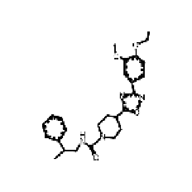 CCOc1ccc(-c2noc(C3CCN(C(=O)NCC(C)c4ccccc4)CC3)n2)cc1OC